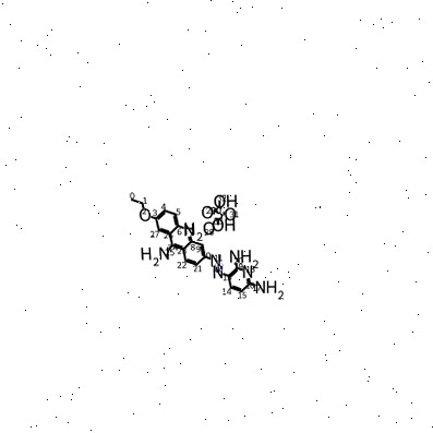 CCOc1ccc2nc3cc(/N=N/c4ccc(N)nc4N)ccc3c(N)c2c1.O.O=S(=O)(O)O